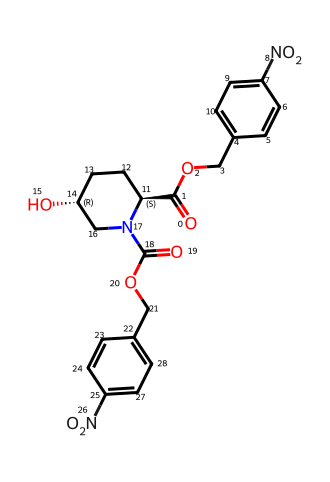 O=C(OCc1ccc([N+](=O)[O-])cc1)[C@@H]1CC[C@@H](O)CN1C(=O)OCc1ccc([N+](=O)[O-])cc1